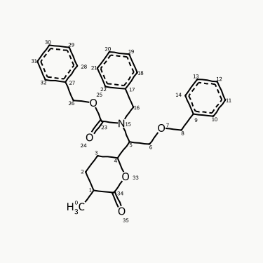 CC1CCC(C(COCc2ccccc2)N(Cc2ccccc2)C(=O)OCc2ccccc2)OC1=O